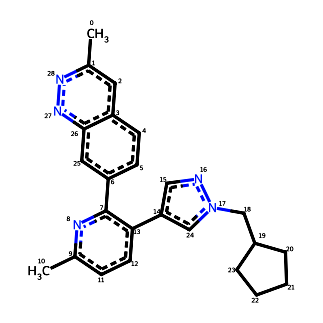 Cc1cc2ccc(-c3nc(C)ccc3-c3cnn(CC4CCCC4)c3)cc2nn1